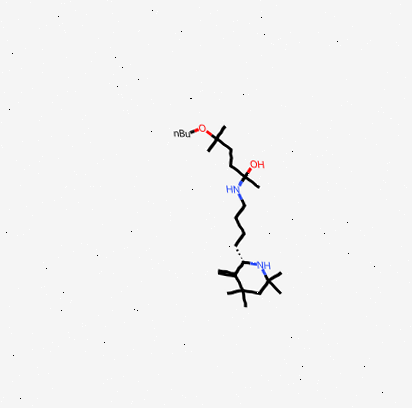 C=C1[C@H](CCCCNC(C)(O)CCC(C)(C)OCCCC)NC(C)(C)CC1(C)C